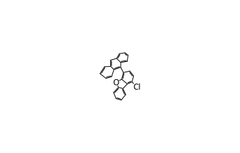 Clc1ccc(-c2c3ccccc3cc3ccccc23)c2oc3ccccc3c12